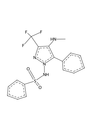 CNc1c(C(F)(F)F)nn(NS(=O)(=O)c2ccccc2)c1-c1ccccc1